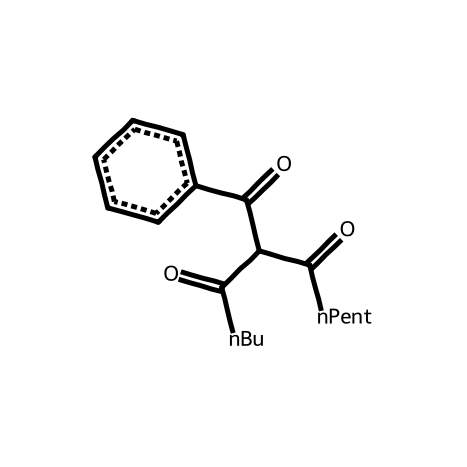 CCCCCC(=O)C(C(=O)CCCC)C(=O)c1ccccc1